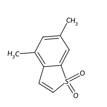 Cc1cc(C)c2c(c1)S(=O)(=O)C=C2